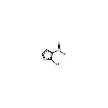 O=[N+]([O-])c1ccsc1O